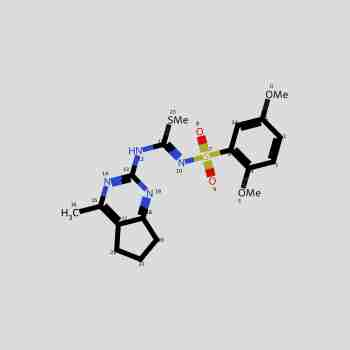 COc1ccc(OC)c(S(=O)(=O)N=C(Nc2nc(C)c3c(n2)CCC3)SC)c1